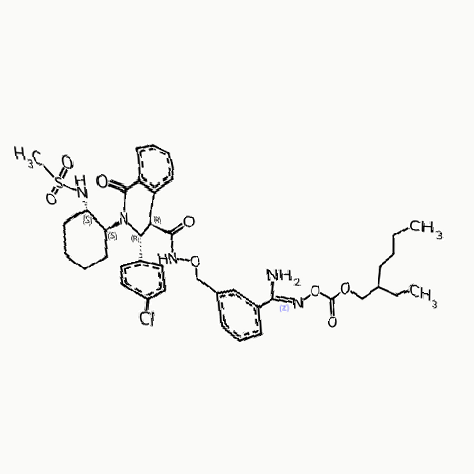 CCCCC(CC)COC(=O)O/N=C(\N)c1cccc(CONC(=O)[C@@H]2c3ccccc3C(=O)N([C@H]3CCCC[C@@H]3NS(C)(=O)=O)[C@H]2c2ccc(Cl)cc2)c1